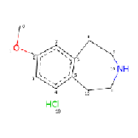 COc1ccc2c(c1)CCNCC2.Cl